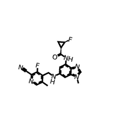 Cc1cnc(C#N)c(F)c1CNc1cc(NC(=O)[C@H]2C[C@H]2F)c2ncn(C)c2c1